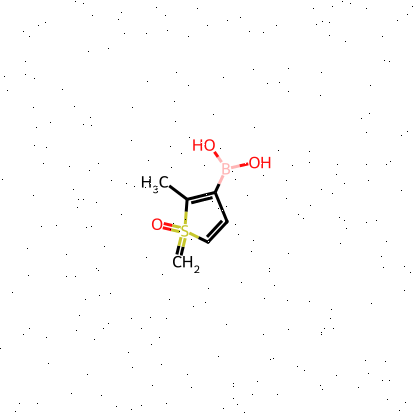 C=S1(=O)C=CC(B(O)O)=C1C